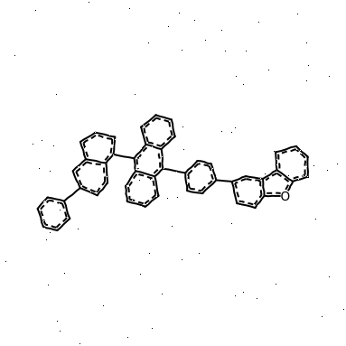 c1ccc(-c2ccc3c(-c4c5ccccc5c(-c5ccc(-c6ccc7oc8ccccc8c7c6)cc5)c5ccccc45)cccc3c2)cc1